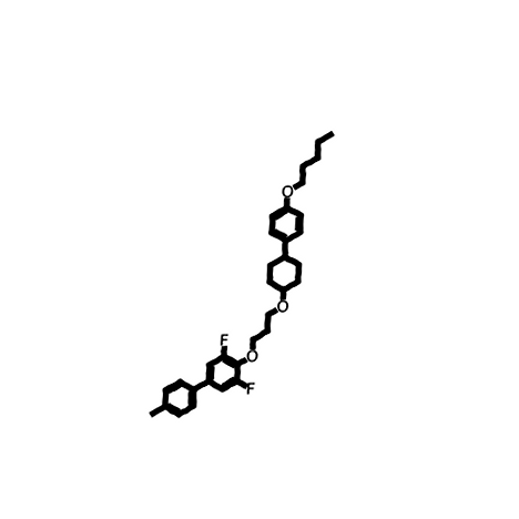 CCCCCOc1ccc(C2CCC(OCCCOc3c(F)cc(-c4ccc(C)cc4)cc3F)CC2)cc1